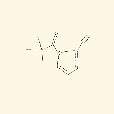 CC(C)(C)C(=O)n1cccc1C#N